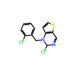 Clc1ccccc1CN1c2ccsc2C=NC1Cl